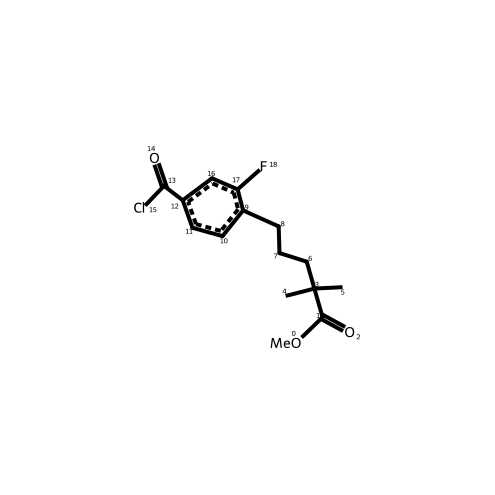 COC(=O)C(C)(C)CCCc1ccc(C(=O)Cl)cc1F